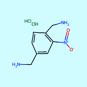 Cl.Cl.NCc1ccc(CN)c([N+](=O)[O-])c1